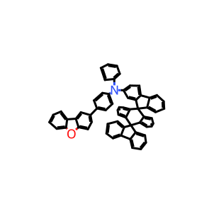 c1ccc(N(c2ccc(-c3ccc4oc5ccccc5c4c3)cc2)c2ccc3c(c2)C2(c4ccccc4-3)c3ccccc3C3(c4ccccc4-c4ccccc43)c3ccccc32)cc1